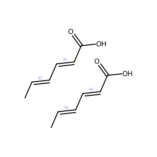 C/C=C/C=C/C(=O)O.C/C=C/C=C/C(=O)O